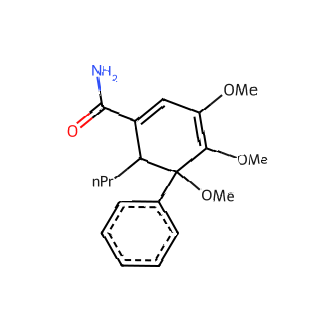 CCCC1C(C(N)=O)=CC(OC)=C(OC)C1(OC)c1ccccc1